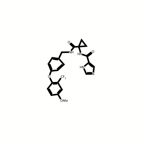 COc1ccc(Oc2ccc(CNC(=O)C3(NC(=O)c4cnc[nH]4)CC3)cc2)c(C(F)(F)F)c1